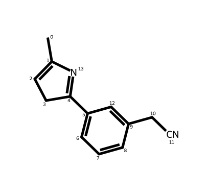 CC1=CCC(c2cccc(CC#N)c2)=N1